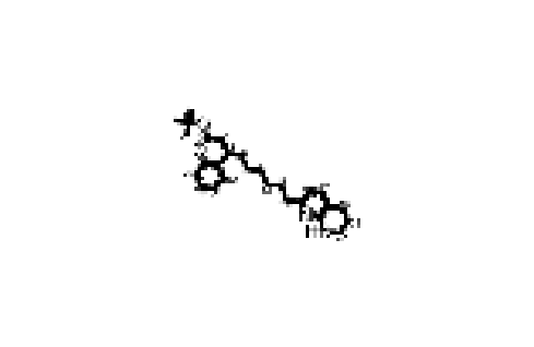 CC(C)(C)OC(=O)CC(CCCCCCc1ccc2c(n1)NCCC2)c1ccccc1